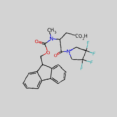 CN(C(=O)OCC1c2ccccc2-c2ccccc21)C(CC(=O)O)C(=O)N1CC(F)(F)C(F)(F)C1